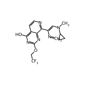 C=N/C(=C\N(C)C1CC1)c1nccc2c(O)nc(OCC(F)(F)F)nc12